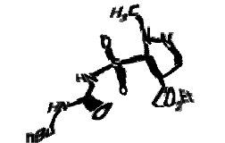 CCCCNC(=O)NS(=O)(=O)c1c(C(=O)OCC)cnn1C